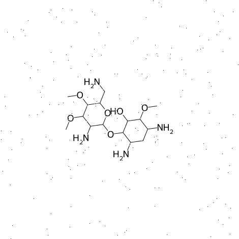 COC1C(N)CC(N)C(OC2OC(CN)C(OC)C(OC)C2N)C1O